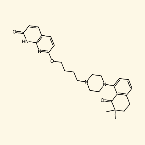 CC1(C)CCc2cccc(N3CCN(CCCCOc4ccc5ccc(=O)[nH]c5n4)CC3)c2C1=O